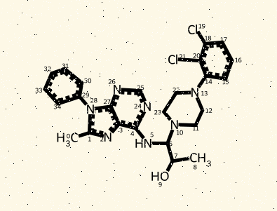 Cc1nc2c(NC(C(C)O)N3CCN(c4cccc(Cl)c4Cl)CC3)ncnc2n1-c1ccccc1